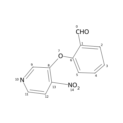 O=Cc1ccccc1Oc1cnccc1[N+](=O)[O-]